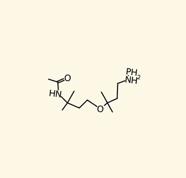 CC(=O)NC(C)(C)CCOC(C)(C)CCNP